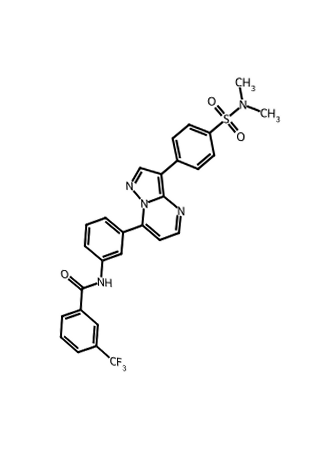 CN(C)S(=O)(=O)c1ccc(-c2cnn3c(-c4cccc(NC(=O)c5cccc(C(F)(F)F)c5)c4)ccnc23)cc1